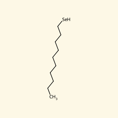 CCCCCCCCCC[SeH]